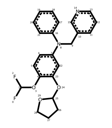 FC(F)Oc1ccc(N(Cc2cccnc2)c2ccccc2)cc1OC1CCCO1